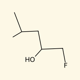 CC(C)CC(O)CF